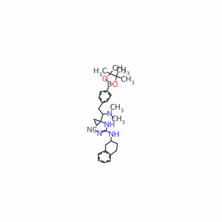 CN(C)C(Cc1ccc(B2OC(C)(C)C(C)(C)O2)cc1)C1(NC(=NC#N)NC2CCc3ccccc3C2)CC1